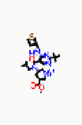 COC(=O)C1CNC[C@@H](N(CC(C)C)C(=O)c2cnc(C(C)(C)C)nc2NCc2ccsc2)C1